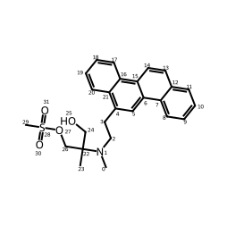 CN(CCc1cc2c3ccccc3ccc2c2ccccc12)C(C)(CO)COS(C)(=O)=O